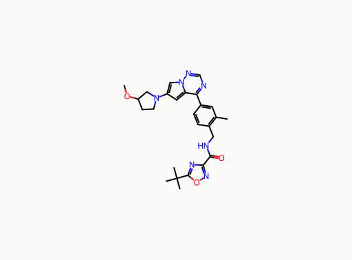 COC1CCN(c2cc3c(-c4ccc(CNC(=O)c5noc(C(C)(C)C)n5)c(C)c4)ncnn3c2)C1